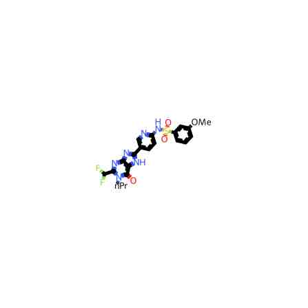 CCCn1c(C(F)F)nc2nc(-c3ccc(NS(=O)(=O)c4cccc(OC)c4)nc3)[nH]c2c1=O